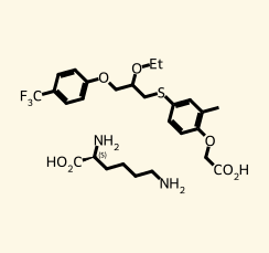 CCOC(COc1ccc(C(F)(F)F)cc1)CSc1ccc(OCC(=O)O)c(C)c1.NCCCC[C@H](N)C(=O)O